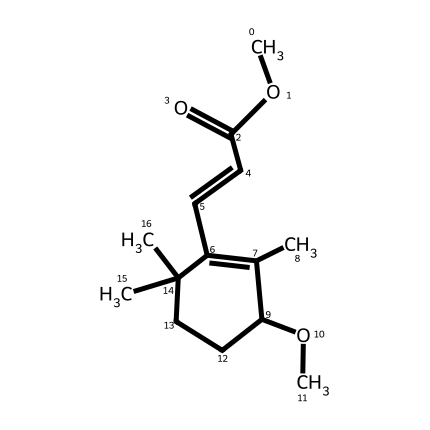 COC(=O)/C=C/C1=C(C)C(OC)CCC1(C)C